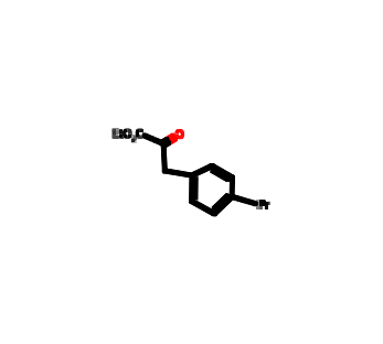 CCOC(=O)C(=O)Cc1ccc(C(C)C)cc1